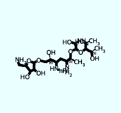 CCCNC(CC(N)[C@H](C)OC(OC([C@H](C)O)[C@@H](C)O)[C@@H](N)O)[C@@H](O)COC1OC(CN)C(O)C1O